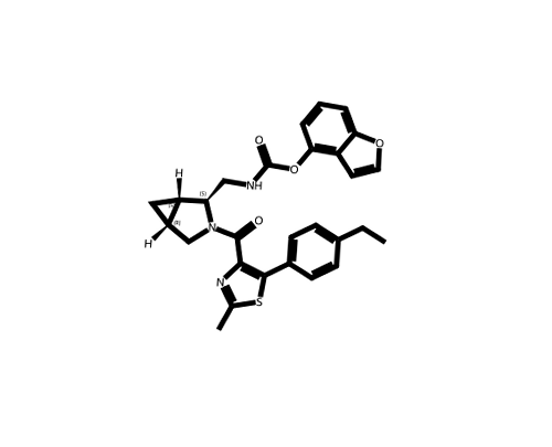 CCc1ccc(-c2sc(C)nc2C(=O)N2C[C@@H]3C[C@@H]3[C@H]2CNC(=O)Oc2cccc3occc23)cc1